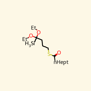 CCCCCCCC(=O)SCCCC([SiH3])(OCC)OCC